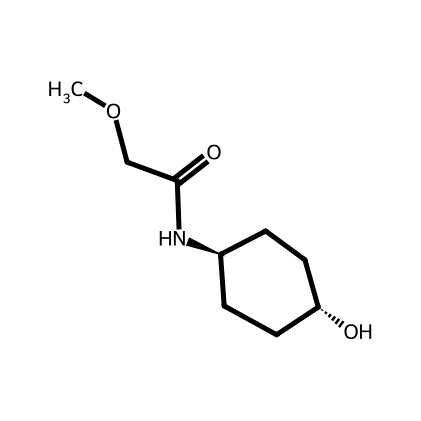 COCC(=O)N[C@H]1CC[C@H](O)CC1